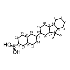 CC1(C)C2CCCCC2C2CCC(C3CCC4CC(B(O)O)CCC4C3)CC21